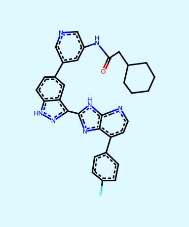 O=C(CC1CCCCC1)Nc1cncc(-c2ccc3[nH]nc(-c4nc5c(-c6ccc(F)cc6)ccnc5[nH]4)c3c2)c1